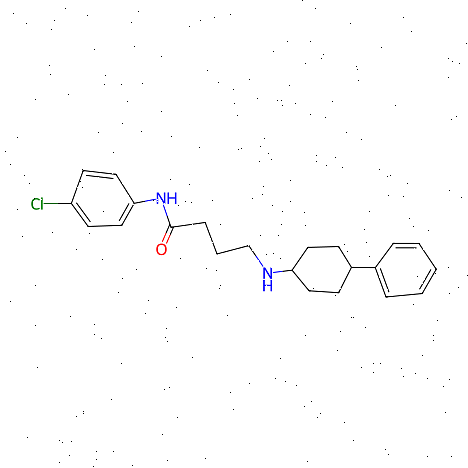 O=C(CCCNC1CCC(c2ccccc2)CC1)Nc1ccc(Cl)cc1